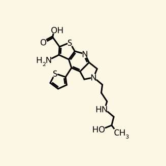 CC(O)CNCCCN1Cc2nc3sc(C(=O)O)c(N)c3c(-c3cccs3)c2C1